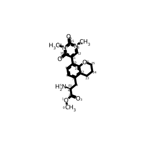 COC(=O)[C@@H](N)Cc1ccc(-c2cn(C)c(=O)n(C)c2=O)c2c1CCCO2